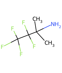 CC(C)(N)C(F)(F)C(F)(F)F